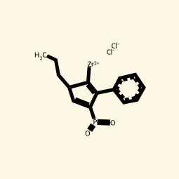 CCCC1C=C(P(=O)=O)C(c2ccccc2)=[C]1[Zr+2].[Cl-].[Cl-]